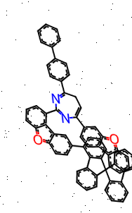 C1=C(c2ccc3c(c2)oc2ccccc23)N=C(c2cccc3oc4ccc(-c5cccc6c5-c5ccccc5C65c6ccccc6-c6ccccc65)cc4c23)N=C(c2ccc(-c3ccccc3)cc2)C1